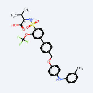 Cc1cccc(Nc2ccc(OCc3ccc(-c4ccc(S(=O)(=O)N[C@@H](C(=O)O)C(C)C)c(OC(F)(F)F)c4)cc3)cc2)c1